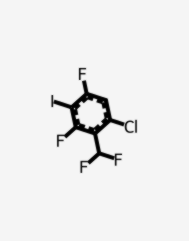 Fc1cc(Cl)c(C(F)F)c(F)c1I